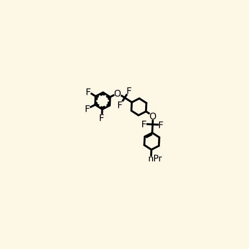 CCCC1CC=C(C(F)(F)OC2CCC(C(F)(F)Oc3cc(F)c(F)c(F)c3)CC2)CC1